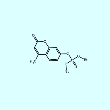 CCOP(=S)(OCC)Oc1ccc2c(C)cc(=O)oc2c1